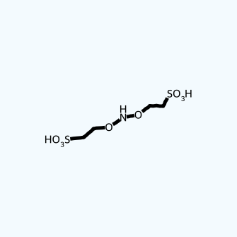 O=S(=O)(O)CCONOCCS(=O)(=O)O